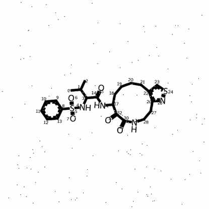 CC(C)C(NS(=O)(=O)c1ccccc1)C(=O)NC1CCCCc2csnc2CCNC(=O)C1=O